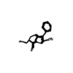 CC(=O)CC1CCC2=C(C=C(C)C2c2ccccc2)C1=O